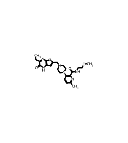 CCc1nc2sc(CN3CCN(c4ccc(C)nc4C(=O)NCCOC)CC3)cc2[nH]c1=O